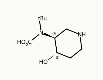 CC(C)(C)N(C(=O)O)[C@H]1CNCC[C@@H]1O